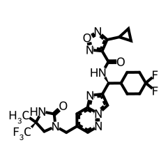 C[C@@]1(C(F)(F)F)CN(Cc2cnn3cc([C@@H](NC(=O)c4nonc4C4CC4)C4CCC(F)(F)CC4)nc3c2)C(=O)N1